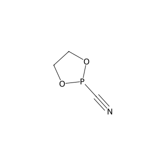 N#CP1OCCO1